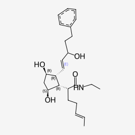 CC=CCCC(C(=O)NCC)[C@H]1[C@@H](/C=C/C(O)CCc2ccccc2)[C@H](O)C[C@@H]1O